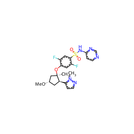 CO[C@H]1C[C@H](c2ccnn2C)[C@](C)(Oc2cc(F)c(S(=O)(=O)Nc3ccncn3)cc2F)C1